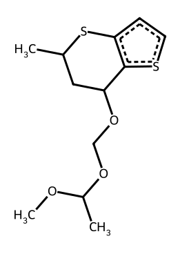 COC(C)OCOC1CC(C)Sc2ccsc21